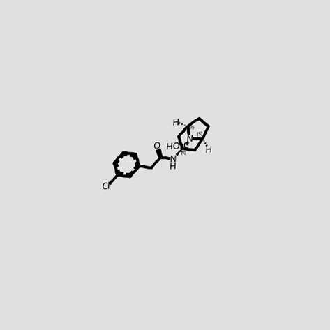 O=C(Cc1cccc(Cl)c1)N[C@H]1C[C@H]2CC[C@@H](C1)N2C(=O)O